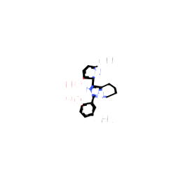 Cc1ccc(O)c(-c2nc(-c3nc(C)ccc3O)c3n2CCCC3)c1